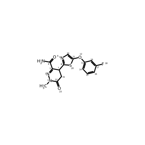 CN1N=C(C(N)=O)C(c2ncc(Oc3cccc(F)c3)s2)CC1=O